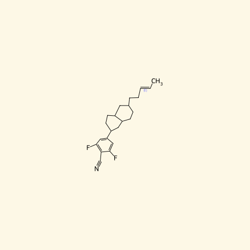 C/C=C/CCC1CCC2CC(c3cc(F)c(C#N)c(F)c3)CCC2C1